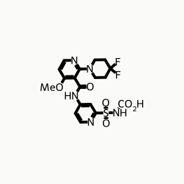 COc1ccnc(N2CCC(F)(F)CC2)c1C(=O)Nc1ccnc(S(=O)(=O)NC(=O)O)c1